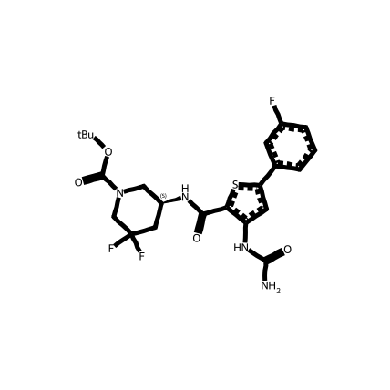 CC(C)(C)OC(=O)N1C[C@@H](NC(=O)c2sc(-c3cccc(F)c3)cc2NC(N)=O)CC(F)(F)C1